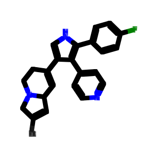 CCC1=CC2C=C(c3c[nH]c(-c4ccc(F)cc4)c3-c3ccncc3)CCN2C1